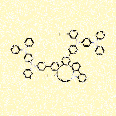 C=c1ccccn2c3ccccc3c3cccc(c4cc(-c5ccc(N(c6ccc(N(c7ccccc7)c7ccccc7)cc6)c6cccc(C)c6)cc5)ccc4c4ccc(C5C=CC(N(c6ccc(N(c7ccccc7)c7ccccc7)cc6)c6cccc(C)c6)=CC5)cc14)c32